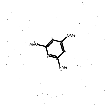 [CH2]Nc1cc(OC)cc(OC)c1